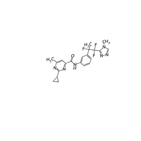 Cc1cc(C(=O)Nc2cccc(C(C)(F)C(F)(F)c3nncn3C)c2)nc(C2CC2)n1